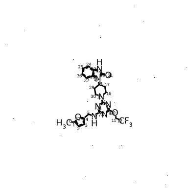 Cc1ccc(CNc2nc(OCC(F)(F)F)nc(N3CCC(n4c(=O)[nH]c5ccccc54)CC3)n2)o1